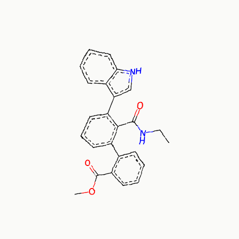 CCNC(=O)c1c(-c2ccccc2C(=O)OC)cccc1-c1c[nH]c2ccccc12